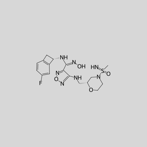 CS(=N)(=O)N1CCO[C@H](CNc2nonc2/C(=N\O)N[C@H]2Cc3ccc(F)cc32)C1